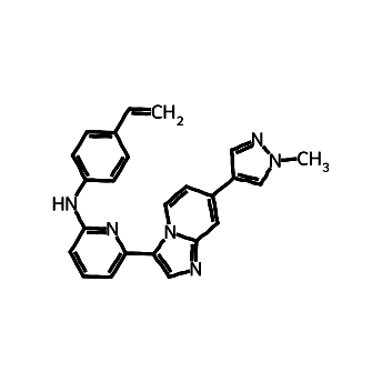 C=Cc1ccc(Nc2cccc(-c3cnc4cc(-c5cnn(C)c5)ccn34)n2)cc1